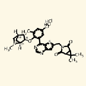 Cc1cc(Cl)cc(-c2ncnc3cc(CN4C(=O)C5C(C4=O)C5(C)C)sc23)c1O[C@@H]1C[C@@H]2C[C@H]1N(C)C2.Cl.Cl